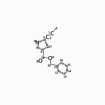 CCCc1ncc(C(=O)OCc2ccccc2)s1